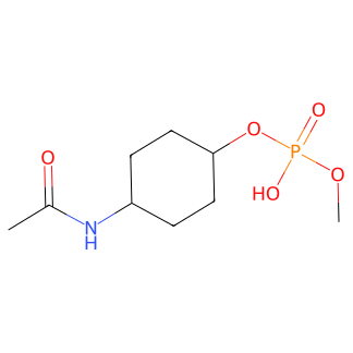 COP(=O)(O)OC1CCC(NC(C)=O)CC1